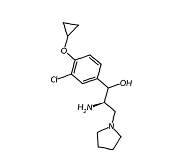 N[C@H](CN1CCCC1)C(O)c1ccc(OC2CC2)c(Cl)c1